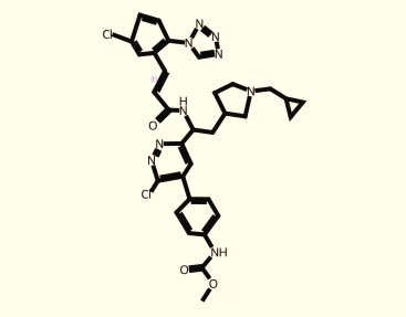 COC(=O)Nc1ccc(-c2cc(C(CC3CCN(CC4CC4)C3)NC(=O)/C=C/c3cc(Cl)ccc3-n3cnnn3)nnc2Cl)cc1